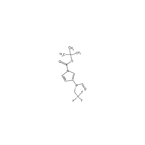 CC(C)(C)OC(=O)n1ccc(N(C=O)CC(F)(F)F)c1